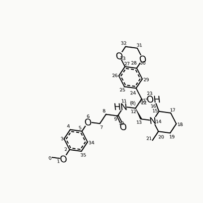 COc1ccc(OCCC(=O)N[C@H](CN2C(C)CCCC2C)[C@@H](O)c2ccc3c(c2)OCCO3)cc1